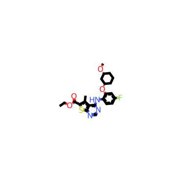 CCOC(=O)c1sc2ncnc(Nc3ccc(F)cc3O[C@@H]3CCC[C@@H](OC)C3)c2c1C